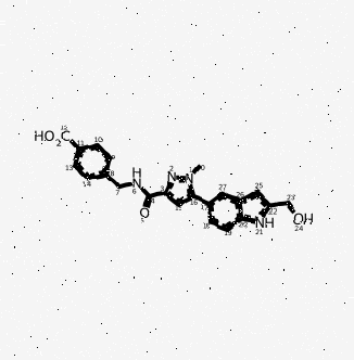 Cn1nc(C(=O)NCc2ccc(C(=O)O)cc2)cc1-c1ccc2[nH]c(CO)cc2c1